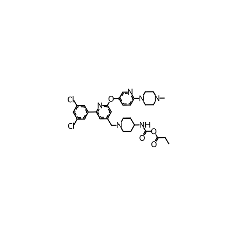 CCC(=O)OC(=O)NC1CCN(Cc2cc(Oc3ccc(N4CCN(C)CC4)nc3)nc(-c3cc(Cl)cc(Cl)c3)c2)CC1